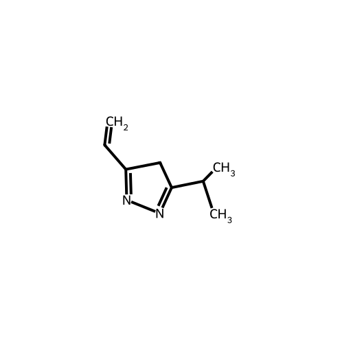 C=CC1=NN=C(C(C)C)C1